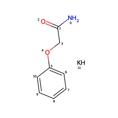 NC(=O)COc1ccccc1.[KH]